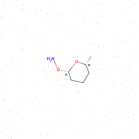 C[C@@H]1CCC[C@H](ON)O1